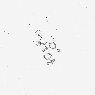 CS(=O)(=O)c1ccc(O[C@@H]2c3cc(Cl)cc(Cl)c3C[C@@H]2N2CCC[C@H]2CN2CCCC2)cc1